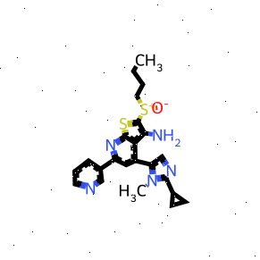 CCCC[S+]([O-])c1sc2nc(-c3cccnc3)cc(-c3cnc(C4CC4)n3C)c2c1N